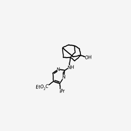 CCOC(=O)c1cnc(NC23CC4CC(CC(O)(C4)C2)C3)nc1C(C)C